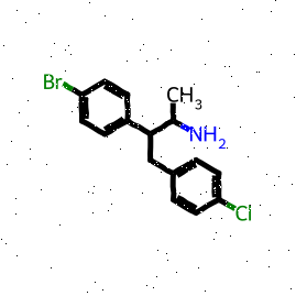 CC(N)C(Cc1ccc(Cl)cc1)c1ccc(Br)cc1